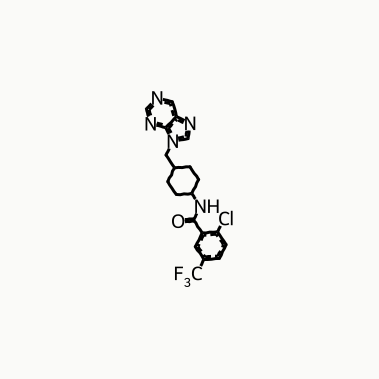 O=C(NC1CCC(Cn2cnc3cncnc32)CC1)c1cc(C(F)(F)F)ccc1Cl